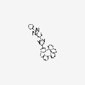 Cn1c(-c2ccccc2)nc2cc(-c3ncc(-c4cc5ccc6cccc7c8cccc9ccc%10cccc(c(c4)c5c67)c%10c98)cn3)ccc21